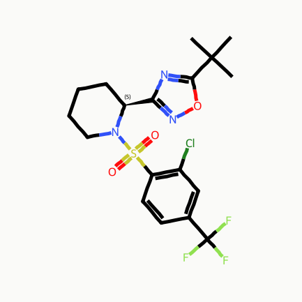 CC(C)(C)c1nc([C@@H]2CCCCN2S(=O)(=O)c2ccc(C(F)(F)F)cc2Cl)no1